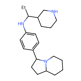 CCC(Nc1ccc(C2CCC3CCCCN32)cc1)C1CCCNC1